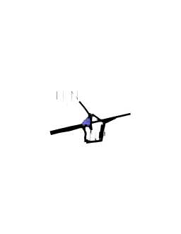 C=C1/N=C(/N)C2=CCC(C=C2C)N1